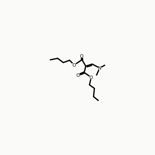 CCCCOC(=O)C(=CN(C)C)C(=O)OCCCC